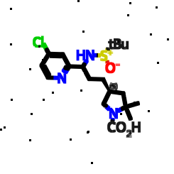 CC1(C)C[C@H](CCC(N[S+]([O-])C(C)(C)C)c2cc(Cl)ccn2)CN1C(=O)O